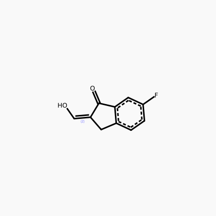 O=C1/C(=C\O)Cc2ccc(F)cc21